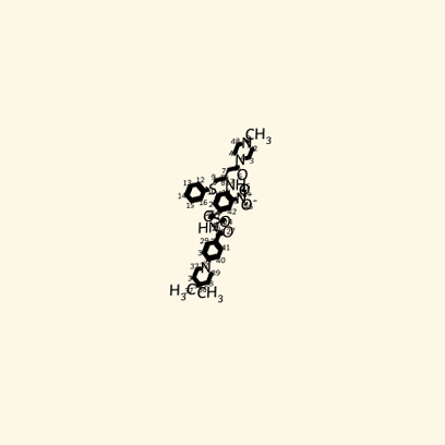 CN1CCN(C(=O)C[C@H](CSc2ccccc2)Nc2ccc(S(=O)(=O)NC(=O)c3ccc(N4CCC(C)(C)CC4)cc3)cc2[N+](=O)[O-])CC1